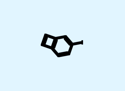 Ic1ccc2c(c1)C=C2